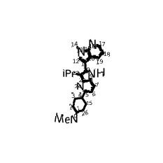 CNC1CCC(c2ccc3[nH]c(-c4cn(C)c5ncccc45)c(C(C)C)c3n2)CC1